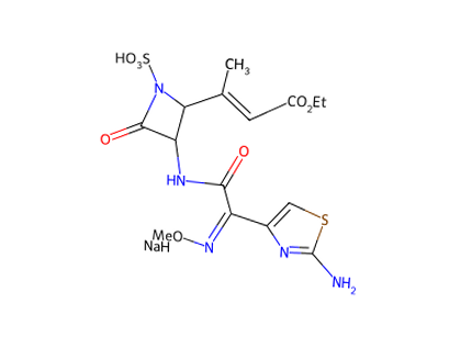 CCOC(=O)C=C(C)C1C(NC(=O)C(=NOC)c2csc(N)n2)C(=O)N1S(=O)(=O)O.[NaH]